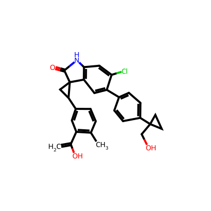 C=C(O)c1cc(C2CC23C(=O)Nc2cc(Cl)c(-c4ccc(C5(CO)CC5)cc4)cc23)ccc1C